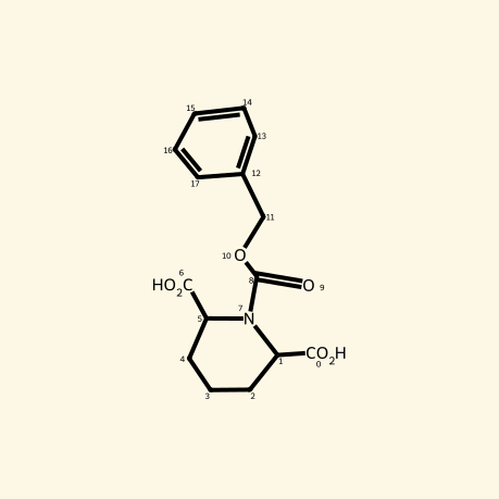 O=C(O)C1CCCC(C(=O)O)N1C(=O)OCc1ccccc1